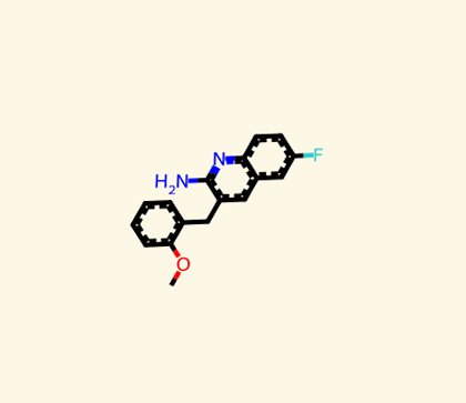 COc1ccccc1Cc1cc2cc(F)ccc2nc1N